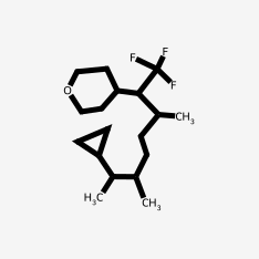 CC(CCC(C)C(C1CCOCC1)C(F)(F)F)C(C)C1CC1